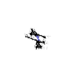 COCCOCCOCC[N+]1=C(/C=C/C=C2/N(CCCCCC(=O)O)c3ccc4c(S(=O)(=O)O)cc(S(=O)(=O)O)cc4c3C2(C)C)C(C)(CCCS(=O)(=O)O)c2c1ccc1c(S(=O)(=O)[O-])cc(S(=O)(=O)O)cc21